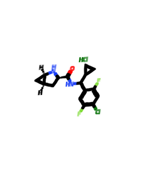 Cl.O=C(NC(c1cc(F)c(Cl)cc1F)C1CC1)[C@H]1C[C@H]2C[C@H]2N1